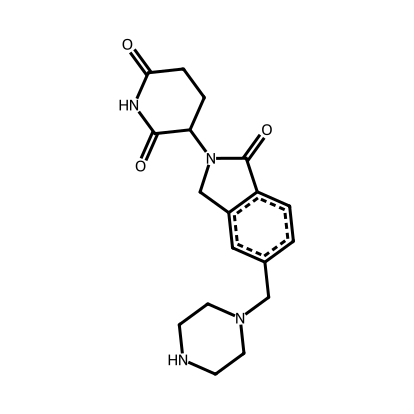 O=C1CCC(N2Cc3cc(CN4CCNCC4)ccc3C2=O)C(=O)N1